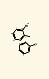 Brc1ccccc1.Cc1ccccc1Br